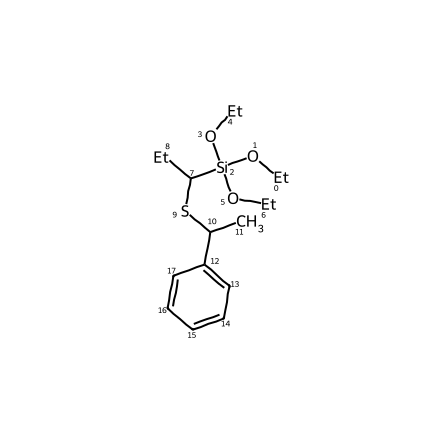 CCO[Si](OCC)(OCC)C(CC)SC(C)c1ccccc1